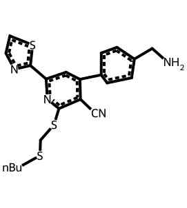 CCCCSCSc1nc(-c2nccs2)cc(-c2ccc(CN)cc2)c1C#N